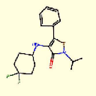 CC(C)n1sc(-c2ccccc2)c(NC2CCC(F)(F)CC2)c1=O